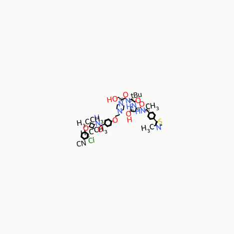 Cc1ncsc1-c1ccc([C@H](C)NC(=O)[C@@H]2C[C@@H](O)CN2C(=O)[C@@H](NC(=O)[C@H](CO)N2CCN(CCOc3ccc(C(=O)N[C@H]4C(C)(C)[C@H](Oc5ccc(C#N)c(Cl)c5)C4(C)C)cc3)CC2)C(C)(C)C)cc1